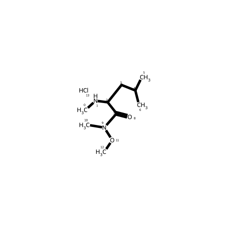 CNC(CC(C)C)C(=O)N(C)OC.Cl